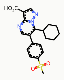 CS(=O)(=O)c1ccc(-c2cnc3c(C(=O)O)cnn3c2C2CCCCC2)cc1